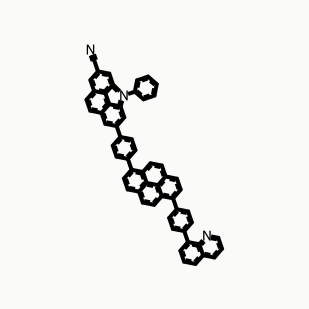 N#Cc1cc2ccc3cc(-c4ccc(-c5ccc6ccc7c(-c8ccc(-c9cccc%10cccnc9%10)cc8)ccc8ccc5c6c87)cc4)cc4c3c2c(c1)n4-c1ccccc1